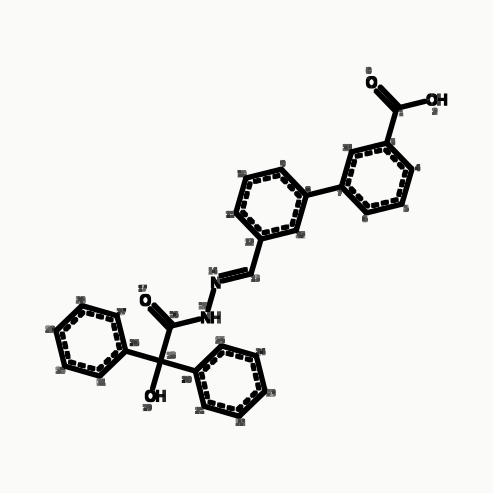 O=C(O)c1cccc(-c2cccc(/C=N/NC(=O)C(O)(c3ccccc3)c3ccccc3)c2)c1